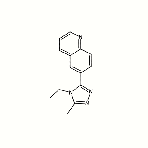 CCn1c(C)nnc1-c1ccc2ncccc2c1